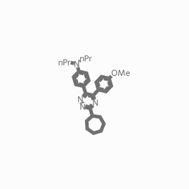 CCCN(CCC)c1ccc(-c2nnc(C3CCCCCC3)nc2-c2ccc(OC)cc2)cc1